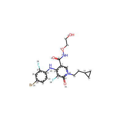 O=C(NOCCO)c1cn(CCC2CC2)c(=O)c(F)c1Nc1ccc(Br)cc1F